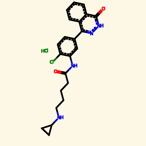 Cl.O=C(CCCCNC1CC1)Nc1cc(-c2n[nH]c(=O)c3ccccc23)ccc1Cl